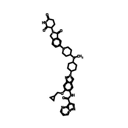 CN(C1CCC(n2cc3cc(NC(=O)c4cnn5cccnc45)c(OCC4CC4)cc3n2)CC1)C1CCN(c2ccc3c(c2)C(=O)N(C2CCC(=O)NC2=O)C3)CC1